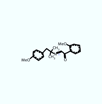 COc1ccc(CC(C)(C)/N=C/C(=O)c2ccccc2OC)cc1